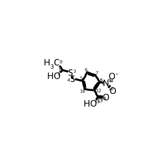 CC(O)SSc1ccc([N+](=O)[O-])c(C(=O)O)c1